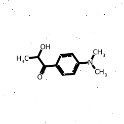 CC(O)C(=O)c1ccc(N(C)C)cc1